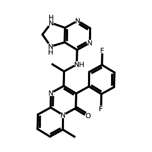 Cc1cccc2nc(C(C)Nc3ncnc4c3NCN4)c(-c3cc(F)ccc3F)c(=O)n12